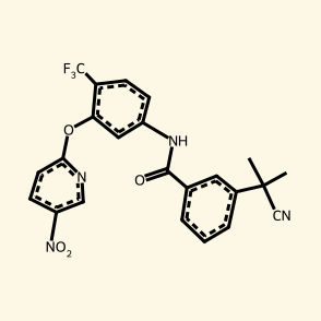 CC(C)(C#N)c1cccc(C(=O)Nc2ccc(C(F)(F)F)c(Oc3ccc([N+](=O)[O-])cn3)c2)c1